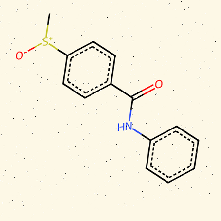 C[S+]([O-])c1ccc(C(=O)Nc2ccccc2)cc1